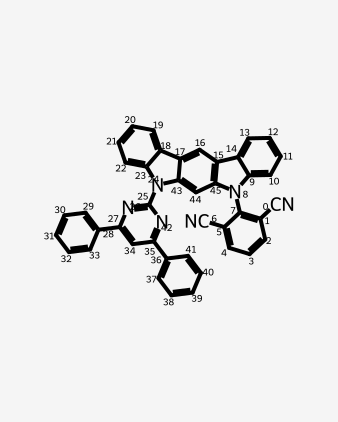 N#Cc1cccc(C#N)c1-n1c2ccccc2c2cc3c4ccccc4n(-c4nc(-c5ccccc5)cc(-c5ccccc5)n4)c3cc21